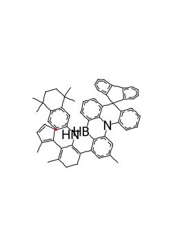 CC1=C(C2=C(C)CCC(c3cc(C)cc4c3Bc3cccc5c3N4c3ccccc3C53c4ccccc4-c4ccccc43)=C2Nc2ccc3c(c2)C(C)(C)CCC3(C)C)CC=C1